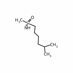 CC(C)CCCCS(C)(=N)=O